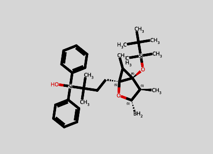 B[C@@H]1O[C@@]2(CCC(C)(C)[Si](O)(c3ccccc3)c3ccccc3)C(C)[C@]2(O[Si](C)(C)C(C)(C)C)[C@H]1C